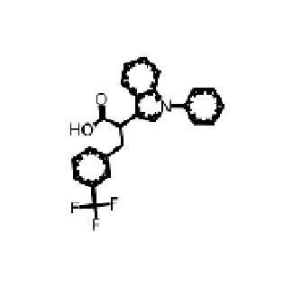 O=C(O)C(Cc1cccc(C(F)(F)F)c1)c1cn(-c2ccccc2)c2ccccc12